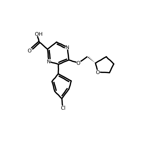 O=C(O)c1cnc(OC[C@@H]2CCCO2)c(-c2ccc(Cl)cc2)n1